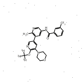 [2H]C([2H])([2H])Oc1ncc(-c2cc(NC(=O)c3cccc(C(F)(F)F)c3)cnc2C)cc1N1CCOCC1